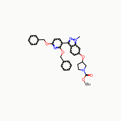 Cn1nc(-c2ccc(OCc3ccccc3)nc2OCc2ccccc2)c2ccc(OC3CCN(C(=O)OC(C)(C)C)C3)cc21